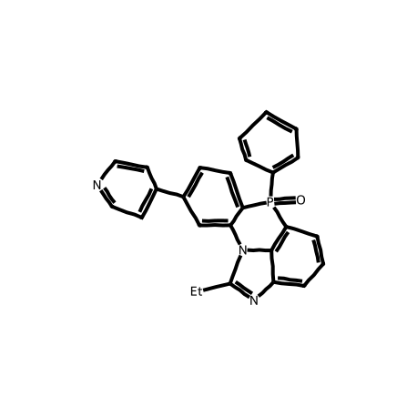 CCc1nc2cccc3c2n1-c1cc(-c2ccncc2)ccc1P3(=O)c1ccccc1